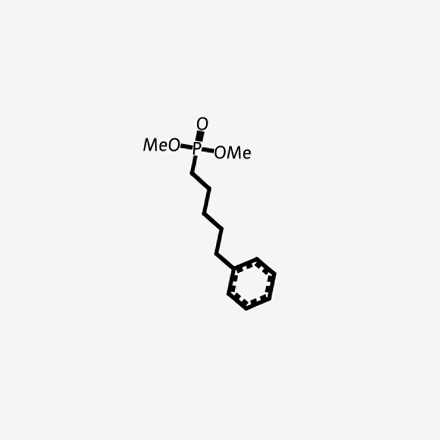 COP(=O)(CCCCCc1ccccc1)OC